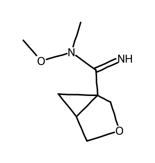 CON(C)C(=N)C12COCC1C2